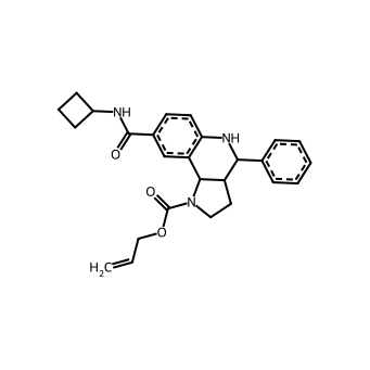 C=CCOC(=O)N1CCC2C(c3ccccc3)Nc3ccc(C(=O)NC4CCC4)cc3C21